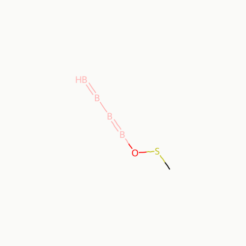 B=BB=BOSC